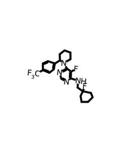 Fc1c(NCC2(F)CCCCC2)ncnc1N1CCCCC1c1ccc(C(F)(F)F)cc1